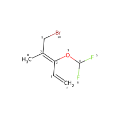 C=C/C(OC(F)F)=C(\C)CBr